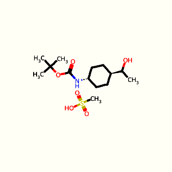 CC(O)[C@H]1CC[C@H](NC(=O)OC(C)(C)C)CC1.CS(=O)(=O)O